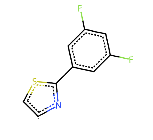 Fc1cc(F)cc(-c2n[c]cs2)c1